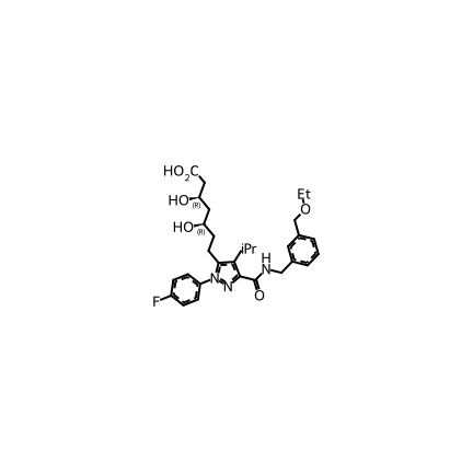 CCOCc1cccc(CNC(=O)c2nn(-c3ccc(F)cc3)c(CC[C@@H](O)C[C@@H](O)CC(=O)O)c2C(C)C)c1